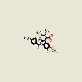 CCC(C)[C@H](C(=O)O)c1c(C)n(C(=S)c2ccc(C)cc2)c2cc(Cl)c(OC)cc12